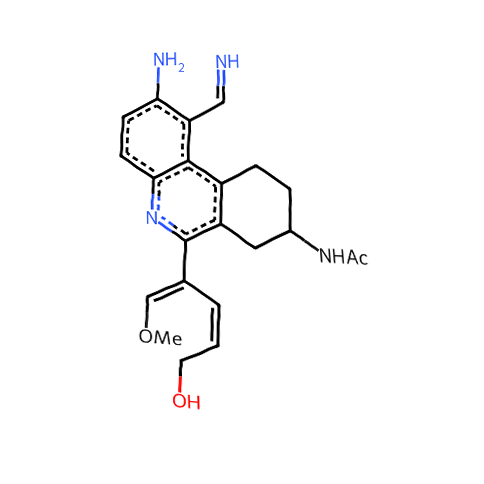 CO/C=C(\C=C/CO)c1nc2ccc(N)c(C=N)c2c2c1CC(NC(C)=O)CC2